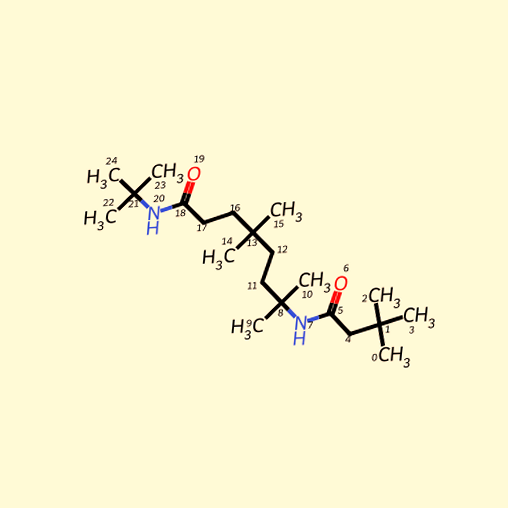 CC(C)(C)CC(=O)NC(C)(C)CCC(C)(C)CCC(=O)NC(C)(C)C